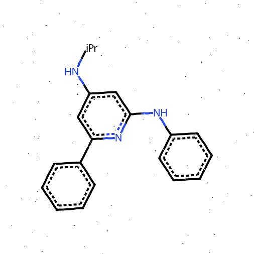 CC(C)Nc1cc(Nc2ccccc2)nc(-c2ccccc2)c1